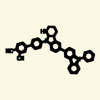 N#Cc1ccc(-c2ccc(N3c4ccc(-c5ccc6c(c5)c5ccccc5n6-c5ccccc5)cc4C4CCCNC43)cc2)cc1C#N